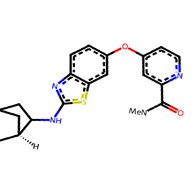 CNC(=O)c1cc(Oc2ccc3nc(NC4C[C@H]5CC[C@H]4C5)sc3c2)ccn1